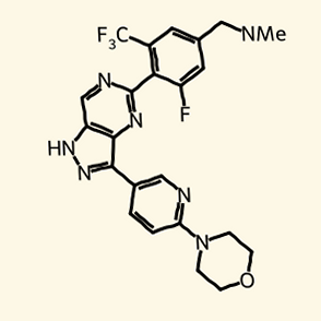 CNCc1cc(F)c(-c2ncc3[nH]nc(-c4ccc(N5CCOCC5)nc4)c3n2)c(C(F)(F)F)c1